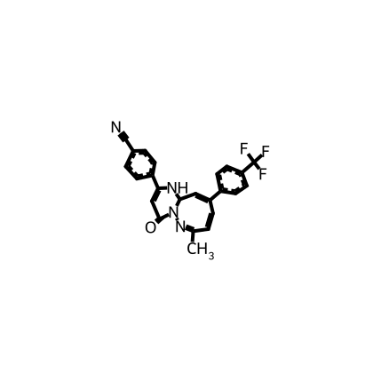 CC1=NN2C(=O)C=C(c3ccc(C#N)cc3)NC2C=C(c2ccc(C(F)(F)F)cc2)C=C1